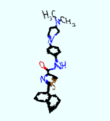 CN(C)C1CCN(c2ccc(NC(=O)c3csc(-c4cccc5ccccc45)n3)cc2)C1